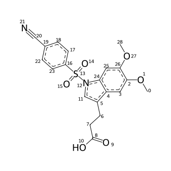 COc1cc2c(CCC(=O)O)cn(S(=O)(=O)c3ccc(C#N)cc3)c2cc1OC